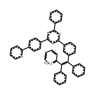 C=C(/C=C\C=C/C)/C(=C(/c1ccccc1)c1cccc(-c2nc(-c3ccccc3)nc(-c3ccc(-c4ccccn4)cc3)n2)c1)c1ccccc1